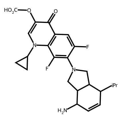 CC(C)C1C=CC(N)C2CN(c3c(F)cc4c(=O)c(OC(=O)O)cn(C5CC5)c4c3F)CC12